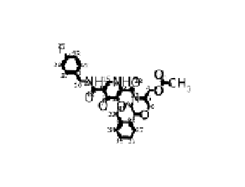 CC(=O)OCC1COCCN1C(=O)c1[nH]cc(C(=O)NCc2ccc(F)cc2)c(=O)c1OCc1ccccc1